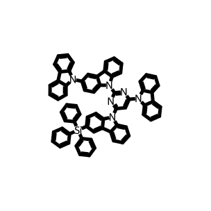 c1ccc([Si](c2ccccc2)(c2ccccc2)c2ccc3c(c2)c2ccccc2n3-c2cc(-n3c4ccccc4c4ccccc43)nc(-n3c4ccccc4c4cc(-n5c6ccccc6c6ccccc65)ccc43)n2)cc1